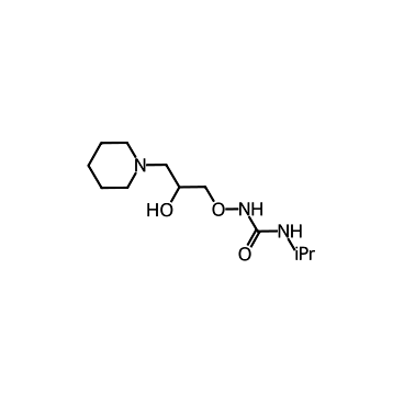 CC(C)NC(=O)NOCC(O)CN1CCCCC1